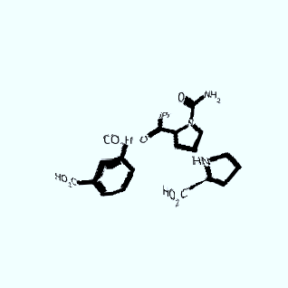 CC(C)C(=O)C1CCCN1C(N)=O.O=C(O)[C@@H]1CCCN1.O=C(O)c1cccc(C(=O)O)c1